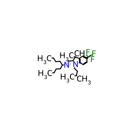 CCCCC(CCCC)/N=C/C1=[N+](CCC(C)C)c2ccc(C(F)(F)F)cc2C1(C)C